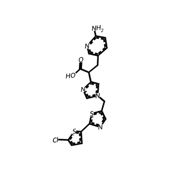 Nc1ccc(CC(C(=O)O)c2cn(Cc3cnc(-c4ccc(Cl)s4)s3)cn2)cn1